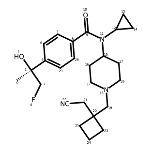 C[C@@](O)(CF)c1ccc(C(=O)N(C2CC2)C2CCN(CC3(CC#N)CCC3)CC2)cc1